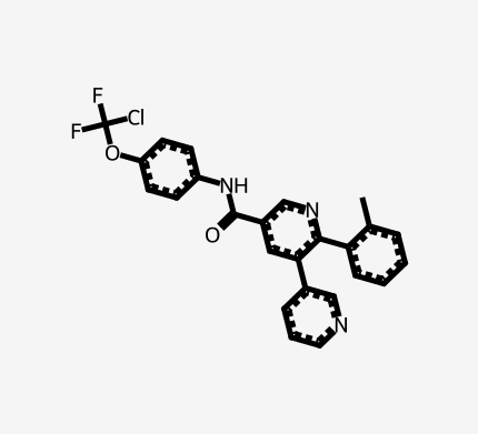 Cc1ccccc1-c1ncc(C(=O)Nc2ccc(OC(F)(F)Cl)cc2)cc1-c1cccnc1